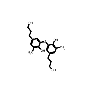 Cc1cc(CCCO)cc(Sc2cc(CCCO)cc(C)c2O)c1O